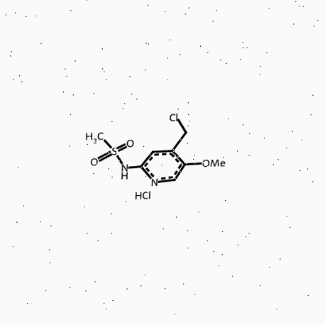 COc1cnc(NS(C)(=O)=O)cc1CCl.Cl